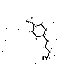 CC(=O)N1CCC(CCCC(C)C)CC1